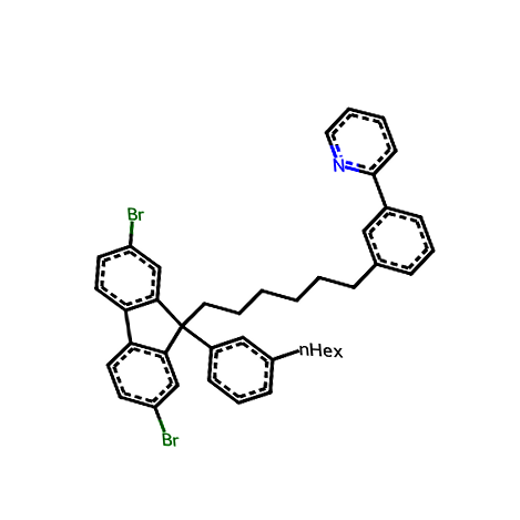 CCCCCCc1cccc(C2(CCCCCCc3cccc(-c4ccccn4)c3)c3cc(Br)ccc3-c3ccc(Br)cc32)c1